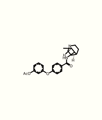 CC(=O)Oc1cccc(Oc2ccc(C(=O)N[C@@H]3C4CCN(CC4)[C@H]3C)cc2)c1